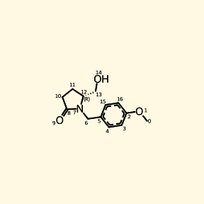 COc1ccc(CN2C(=O)CC[C@@H]2CO)cc1